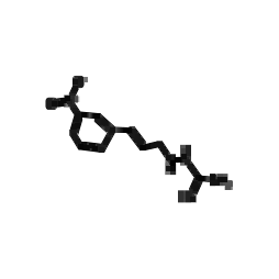 N=C(N)NNC/C=C/c1cccc([N+](=O)[O-])c1